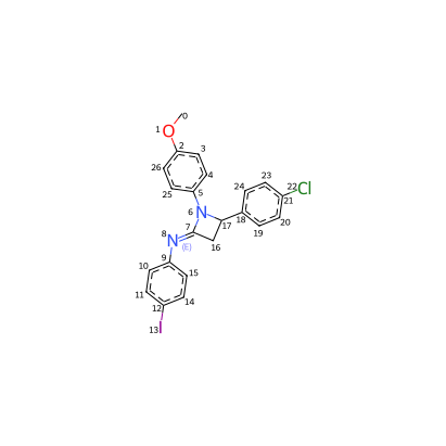 COc1ccc(N2/C(=N/c3ccc(I)cc3)CC2c2ccc(Cl)cc2)cc1